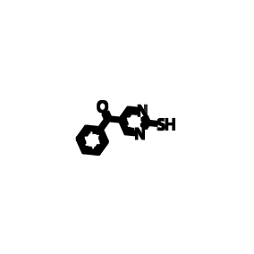 O=C(c1ccccc1)c1cnc(S)nc1